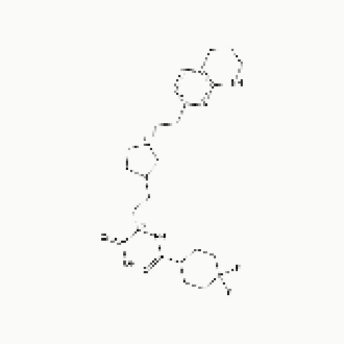 O=C(N[C@@H](CCN1CC[C@H](CCc2ccc3c(n2)NCCC3)C1)C(=O)O)C1CCC(F)(F)CC1